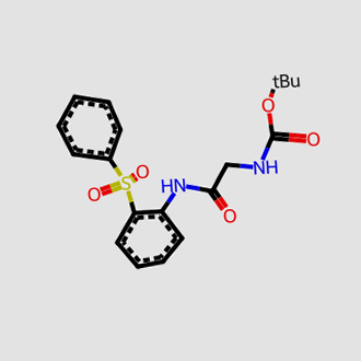 CC(C)(C)OC(=O)NCC(=O)Nc1ccccc1S(=O)(=O)c1ccccc1